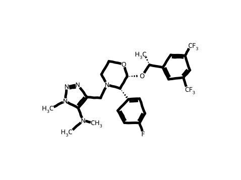 C[C@@H](O[C@H]1OCCN(Cc2nnn(C)c2N(C)C)[C@H]1c1ccc(F)cc1)c1cc(C(F)(F)F)cc(C(F)(F)F)c1